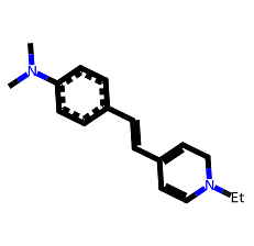 CCN1C=CC(C=Cc2ccc(N(C)C)cc2)=CC1